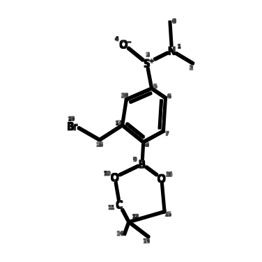 CN(C)[S+]([O-])c1ccc(B2OCC(C)(C)CO2)c(CBr)c1